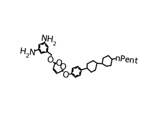 CCCCCC1CCC(C2CCC(c3ccc(OC(=O)/C=C\C(=O)OCc4cc(N)cc(N)c4)cc3)CC2)CC1